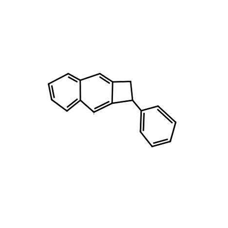 [c]1c2c(cc3ccccc13)CC2c1ccccc1